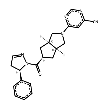 N#Cc1cc(N2C[C@H]3C[C@@H](C(=O)N4N=CC[C@@H]4c4ccccc4)C[C@H]3C2)ncn1